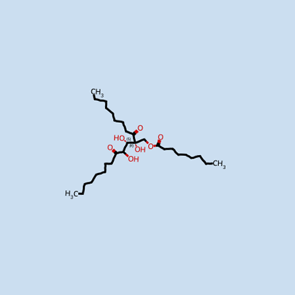 CCCCCCCCC(=O)OC[C@](O)(C(=O)CCCCCCCC)[C@@H](O)C(O)C(=O)CCCCCCCC